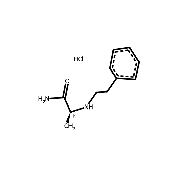 C[C@H](NCCc1ccccc1)C(N)=O.Cl